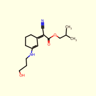 CC(C)COC(=O)/C(C#N)=C1\C=C(NCCCO)CCC1